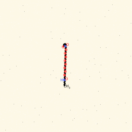 CCCCCNC(=O)CCOCCOCCOCCOCCOCCOCCOCCOCCN1C(=O)C=CC1=O